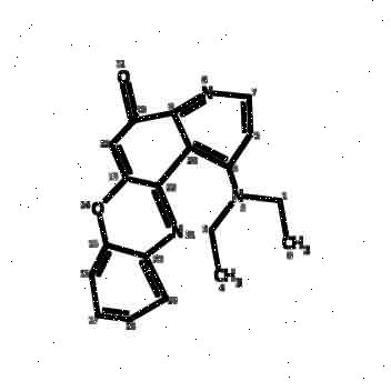 CCN(CC)c1ccnc2c(=O)cc3oc4ccccc4nc-3c12